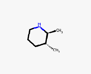 C[C@@H]1CCCN[C@H]1C